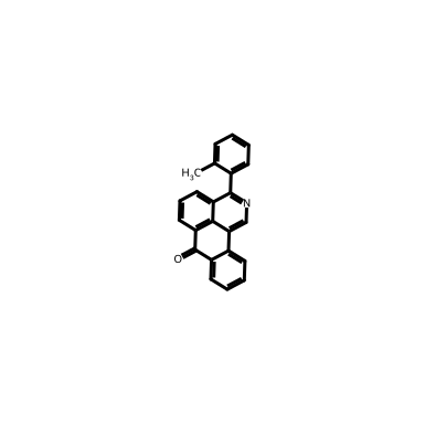 Cc1ccccc1-c1ncc2c3c(cccc13)C(=O)c1ccccc1-2